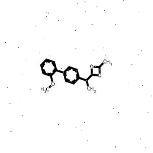 COc1ccccc1-c1ccc(C(C)C2OC(C)O2)cc1